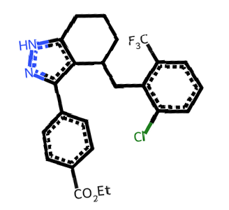 CCOC(=O)c1ccc(-c2n[nH]c3c2C(Cc2c(Cl)cccc2C(F)(F)F)CCC3)cc1